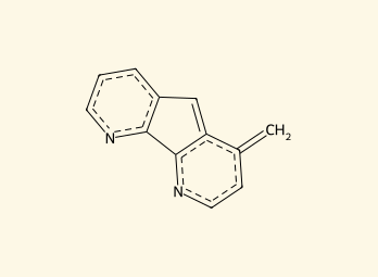 C=c1ccnc2c1=Cc1cccnc1-2